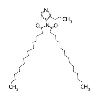 CCCCCCCCCCCCCCCC(=O)N(C(=O)CCCCCCCCCCCCCCC)c1ccncc1CCC